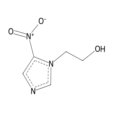 O=[N+]([O-])c1cncn1CCO